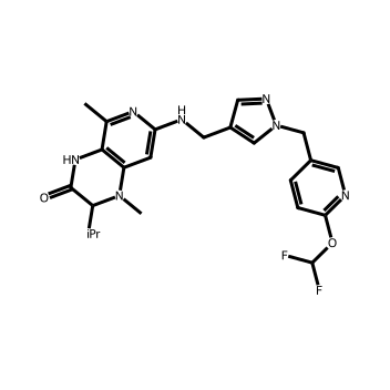 Cc1nc(NCc2cnn(Cc3ccc(OC(F)F)nc3)c2)cc2c1NC(=O)C(C(C)C)N2C